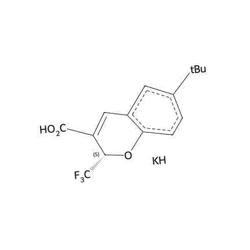 CC(C)(C)c1ccc2c(c1)C=C(C(=O)O)[C@@H](C(F)(F)F)O2.[KH]